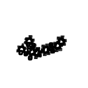 O=C(NOC1CCCCO1)c1cnc(N2CCN(S(=O)(=O)c3ccc4ccccc4c3)CC2)nc1NOC1CCCCO1